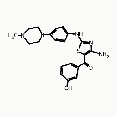 CN1CCN(c2ccc(Nc3nc(N)c(C(=O)c4cccc(O)c4)s3)cc2)CC1